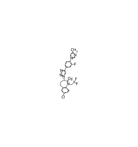 Cc1cn(-c2ccc(-c3cn([C@@H]4CCc5cc(Cl)ccc5N(CC(F)(F)F)C4=O)nn3)cc2F)cn1